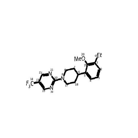 CCc1cccc(C2CCN(c3ncc(C(F)(F)F)cn3)CC2)c1OC